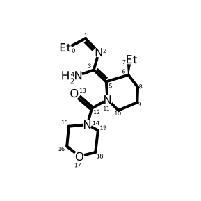 CC/C=N\C(N)=C1[C@@H](CC)CCCN1C(=O)N1CCOCC1